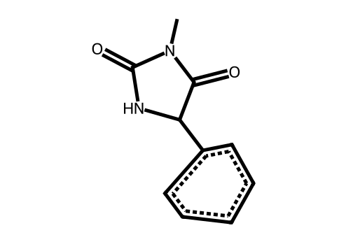 CN1C(=O)NC(c2ccccc2)C1=O